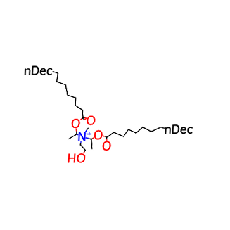 CCCCCCCCCCCCCCCCCC(=O)OC(C)[N+](C)(CCO)C(C)OC(=O)CCCCCCCCCCCCCCCCC